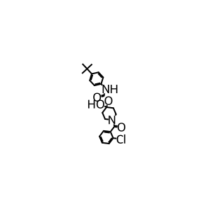 CC(C)(C)c1ccc(NC(=O)OC2(O)CCN(C(=O)c3ccccc3Cl)CC2)cc1